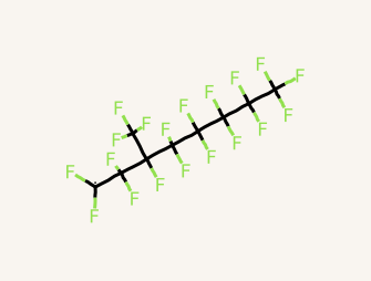 F[C](F)C(F)(F)C(F)(C(F)(F)F)C(F)(F)C(F)(F)C(F)(F)C(F)(F)C(F)(F)F